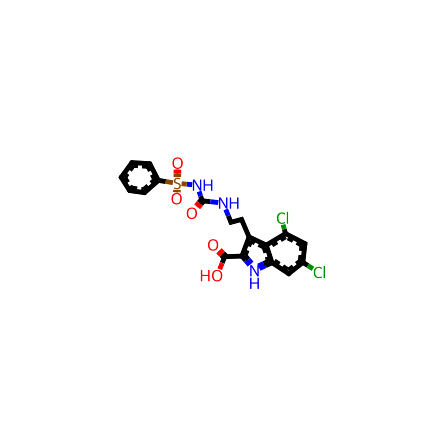 O=C(NCCc1c(C(=O)O)[nH]c2cc(Cl)cc(Cl)c12)NS(=O)(=O)c1ccccc1